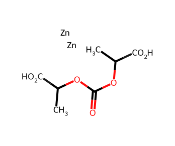 CC(OC(=O)OC(C)C(=O)O)C(=O)O.[Zn].[Zn]